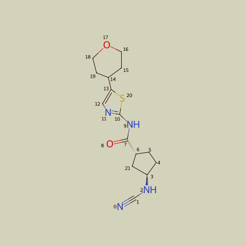 N#CN[C@@H]1CC[C@@H](C(=O)Nc2ncc(C3CCOCC3)s2)C1